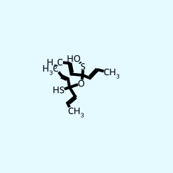 CC=CC(S)(C=CC)OC(C=CC)(C=CC)SO